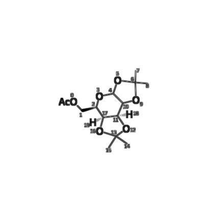 CC(=O)OC[C@H]1OC2OC(C)(C)OC2[C@H]2OC(C)(C)O[C@H]21